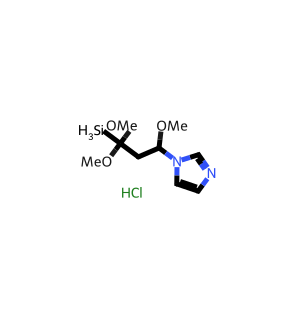 COC(CC([SiH3])(OC)OC)n1ccnc1.Cl